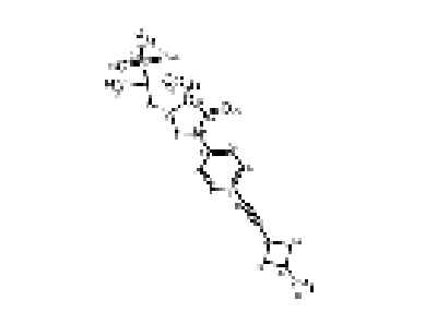 C[C@@](C[C@H]1CN(c2ccc(C#CC3CC(O)C3)cc2)C(=O)O1)(C(=O)O)S(C)(=O)=O